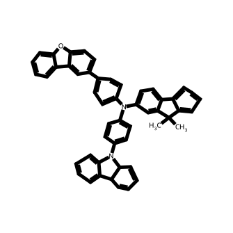 CC1(C)c2ccccc2-c2ccc(N(c3ccc(-c4ccc5oc6ccccc6c5c4)cc3)c3ccc(N4c5ccccc5C5C=CC=CC54)cc3)cc21